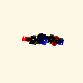 CCNS(=O)(=O)c1ccc(CNc2nccn3c(-c4ccc(O)cc4)cnc23)cc1